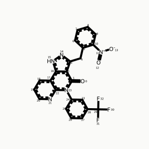 O=c1c2c(Cc3ccccc3[N+](=O)[O-])n[nH]c2c2cccnc2n1-c1cccc(C(F)(F)F)c1